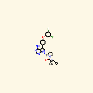 N#C/C(=C\C1CC1)C(=O)N1CCC[C@H]1Cn1cc(-c2ccc(Oc3cc(F)cc(F)c3)cc2)c2c(N)ncnc21